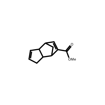 COC(=O)C1=CC2CC1C1CC=CC21